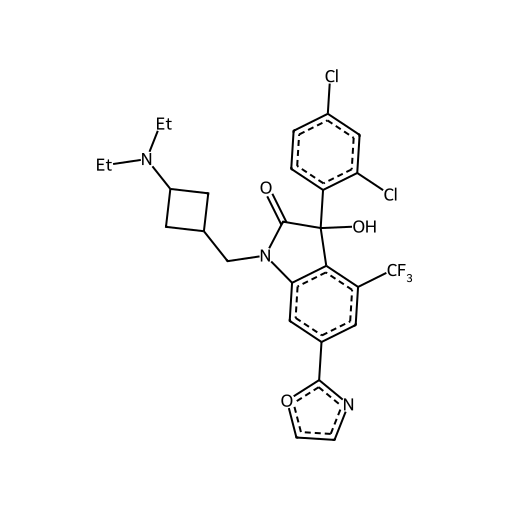 CCN(CC)C1CC(CN2C(=O)C(O)(c3ccc(Cl)cc3Cl)c3c2cc(-c2ncco2)cc3C(F)(F)F)C1